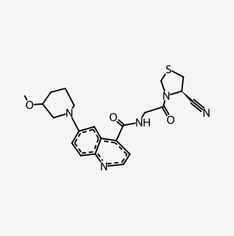 COC1CCCN(c2ccc3nccc(C(=O)NCC(=O)N4CSC[C@H]4C#N)c3c2)C1